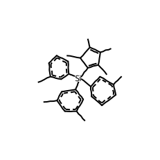 CC1=C(C)C(C)C([Si](c2cccc(C)c2)(c2cccc(C)c2)c2cc(C)cc(C)c2)=C1C